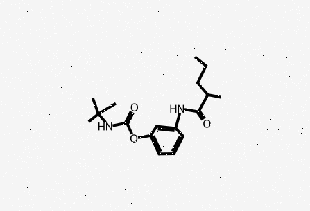 CCCC(C)C(=O)Nc1cccc(OC(=O)NC(C)(C)C)c1